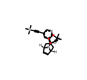 CC(C)(C)OC(=O)N1[C@@H]2C=C[C@H]1CC(C#N)(c1cncc(C#C[Si](C)(C)C)c1)C2